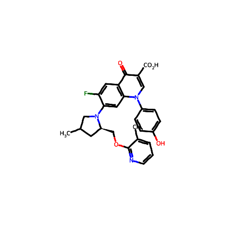 Cc1cccnc1OC[C@H]1CC(C)CN1c1cc2c(cc1F)c(=O)c(C(=O)O)cn2-c1ccc(O)cc1